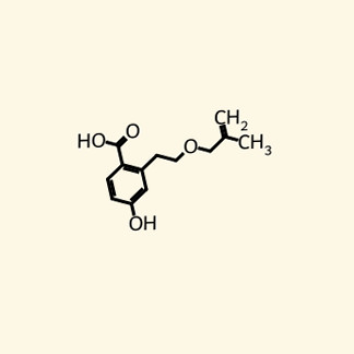 C=C(C)COCCc1cc(O)ccc1C(=O)O